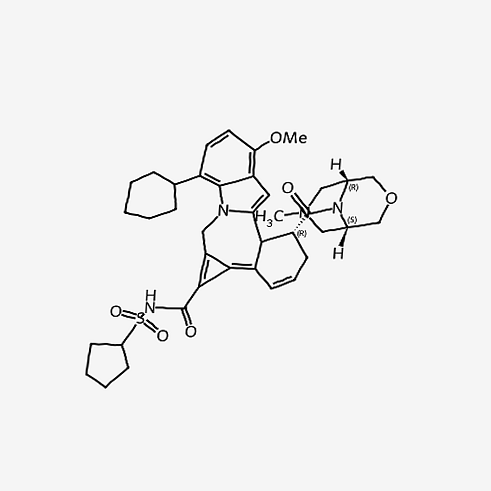 COc1ccc(C2CCCCC2)c2c1cc1n2CC2=C(C(=O)NS(=O)(=O)C3CCCC3)C2=C2C=CC[C@@H](C(=O)N3[C@@H]4COC[C@H]3CN(C)C4)C21